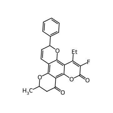 CCc1c(F)c(=O)oc2c3c(c4c(c12)OC(c1ccccc1)C=C4)OC(C)CC3=O